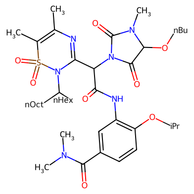 CCCCCCCCC(CCCCCC)N1C(C(C(=O)Nc2cc(C(=O)N(C)C)ccc2OC(C)C)N2C(=O)C(OCCCC)N(C)C2=O)=NC(C)=C(C)S1(=O)=O